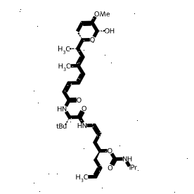 C/C=C\C[C@@H](C/C=C\NC(=O)[C@@H](NC(=O)\C=C/C=C\C(C)=C\[C@H](C)[C@@H]1CC=C(OC)[C@H](O)O1)C(C)(C)C)OC(=O)NC(C)C